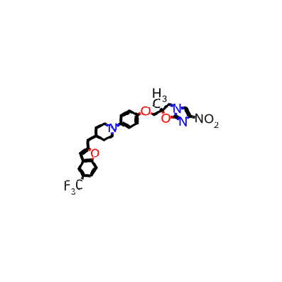 CC1(COc2ccc(N3CCC(Cc4cc5cc(C(F)(F)F)ccc5o4)CC3)cc2)Cn2cc([N+](=O)[O-])nc2O1